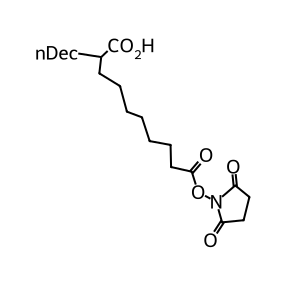 CCCCCCCCCCC(CCCCCCCC(=O)ON1C(=O)CCC1=O)C(=O)O